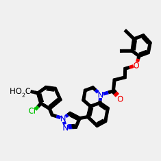 Cc1cccc(OCCCC(=O)N2CCCc3c(-c4cnn(Cc5cccc(C(=O)O)c5Cl)c4)cccc32)c1C